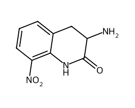 NC1Cc2cccc([N+](=O)[O-])c2NC1=O